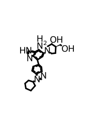 Nc1c(N2CC[C@H](CO)[C@@H](O)C2)cc(-c2ccc3c(c2)ncn3C2CCCCC2)c2nc[nH]c12